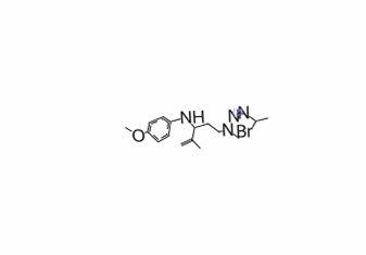 C=C(C)C(CCN(C)/N=N\C(C)Br)Nc1ccc(OC)cc1